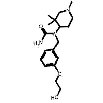 CN1CCC(N(Cc2cccc(OCCO)c2)C(N)=O)C(C)(C)C1